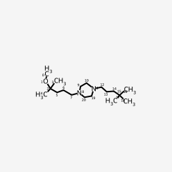 COC(C)(C)CCCN1CCN(CCCC(C)(C)C)CC1